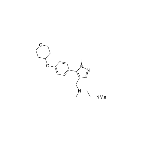 CNCCN(C)Cc1cnn(C)c1-c1ccc(OC2CCOCC2)cc1